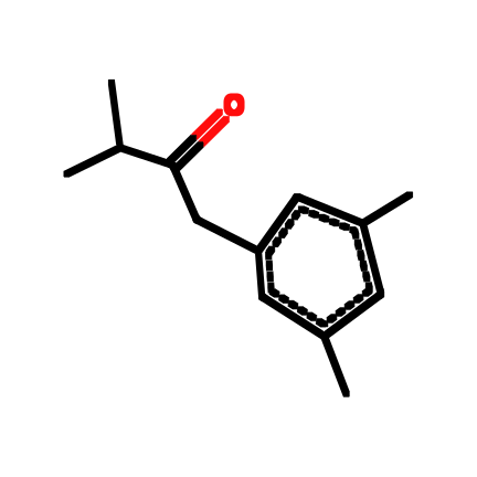 Cc1cc(C)cc(CC(=O)C(C)C)c1